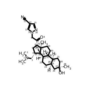 CN(C)C[C@@H]1C[C@H](C(=O)Cn2cc(C#N)cn2)[C@@]2(C)CC[C@H]3[C@@H](CC[C@@H]4C[C@](C)(O)CC[C@@H]43)[C@H]12